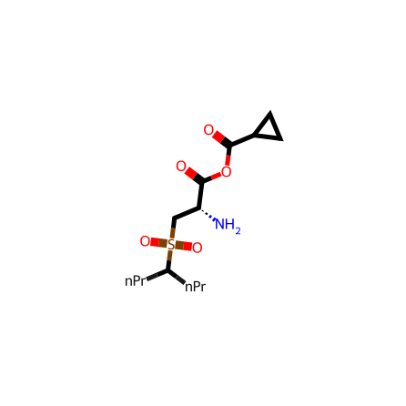 CCCC(CCC)S(=O)(=O)C[C@@H](N)C(=O)OC(=O)C1CC1